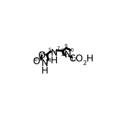 O=C1NCC(CNCC2CCN(C(=O)O)C2)O1